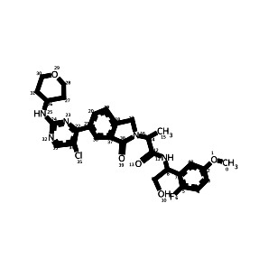 COc1ccc(F)c(C(CO)NC(=O)C(C)N2Cc3ccc(-c4nc(NC5CCOCC5)ncc4Cl)cc3C2=O)c1